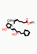 CO[C@H]1C[C@@H](O)[C@H](/C=C/[C@@H](O)CCc2ccccc2)[C@H]1C/C=C\CCCC(=O)OC(C)C